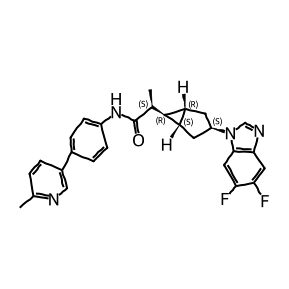 Cc1ccc(-c2ccc(NC(=O)[C@@H](C)[C@H]3[C@@H]4C[C@@H](n5cnc6cc(F)c(F)cc65)C[C@@H]43)cc2)cn1